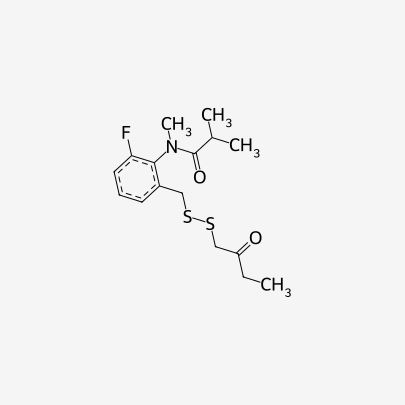 CCC(=O)CSSCc1cccc(F)c1N(C)C(=O)C(C)C